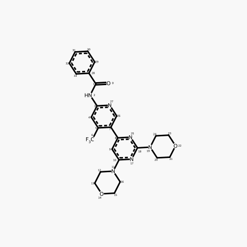 O=C(Nc1cc(C(F)(F)F)c(-c2cc(N3CCOCC3)nc(N3CCOCC3)n2)cn1)c1ccccc1